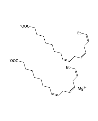 CC/C=C\C/C=C\C/C=C\CCCCCCCC(=O)[O-].CC/C=C\C/C=C\C/C=C\CCCCCCCC(=O)[O-].[Mg+2]